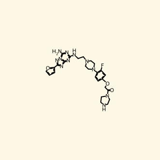 Nc1nc(NCCN2CCN(c3ccc(OCC(=O)N4CCNCC4)cc3F)CC2)nc2nc(-c3ccco3)nn12